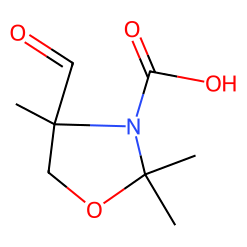 CC1(C=O)COC(C)(C)N1C(=O)O